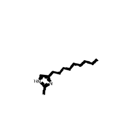 CCCCCCCCCc1c[nH]c(C)n1